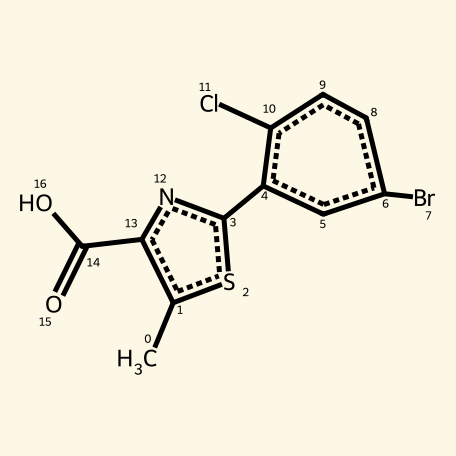 Cc1sc(-c2cc(Br)ccc2Cl)nc1C(=O)O